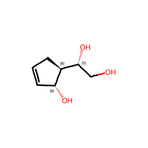 OC[C@@H](O)[C@@H]1CC=C[C@H]1O